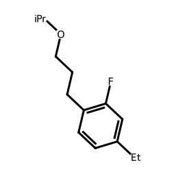 CCc1ccc(CCCOC(C)C)c(F)c1